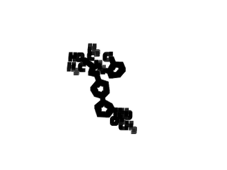 CC(C)(O)c1cc(-c2ccc(-c3cccc(NS(C)(=O)=O)c3)cc2)n(-c2ccccc2Cl)n1